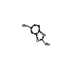 CC(C)(C)c1ccc2nc(C(C)(C)C)oc2c1